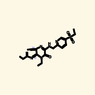 C=C(CC)/N=C1\C(=C/C)N=C(NCc2ccc(S(=O)(=O)CC)cn2)C(=O)N1CC